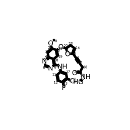 COc1cc2ncnc(Nc3ccc(F)c(Cl)c3)c2cc1OC1CC=C(C#CCC(=O)NO)O1